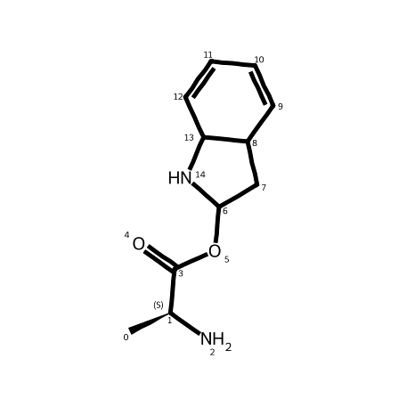 C[C@H](N)C(=O)OC1CC2C=CC=CC2N1